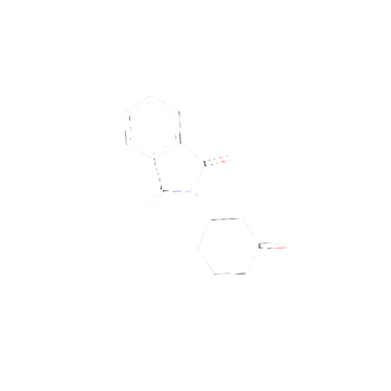 O=C1CCC[C@H](N2C(=O)c3ccccc3C2=O)C1